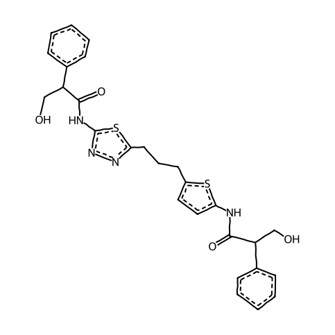 O=C(Nc1ccc(CCCc2nnc(NC(=O)C(CO)c3ccccc3)s2)s1)C(CO)c1ccccc1